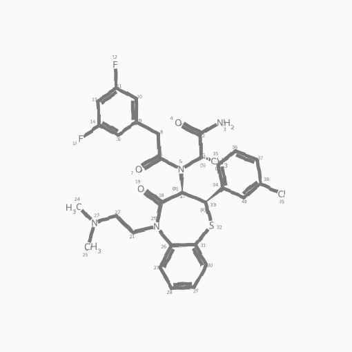 C[C@@H](C(N)=O)N(C(=O)Cc1cc(F)cc(F)c1)[C@@H]1C(=O)N(CCN(C)C)c2ccccc2S[C@@H]1c1cccc(Cl)c1